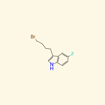 Fc1ccc2[nH]cc(CCCCBr)c2c1